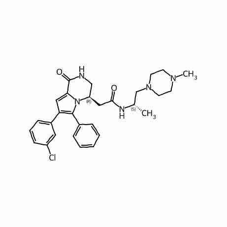 C[C@@H](CN1CCN(C)CC1)NC(=O)C[C@@H]1CNC(=O)c2cc(-c3cccc(Cl)c3)c(-c3ccccc3)n21